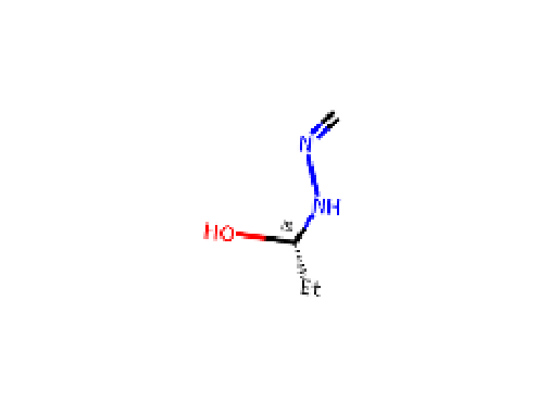 C=NN[C@@H](O)CC